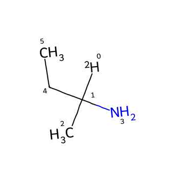 [2H]C(C)(N)CC